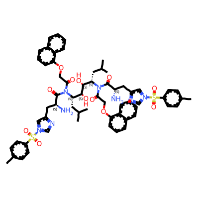 Cc1ccc(S(=O)(=O)n2cnc(C[C@H](N)C(=O)N(C(=O)COc3cccc4ccccc34)[C@@H](CC(C)C)[C@H](O)[C@@H](O)[C@H](CC(C)C)N(C(=O)COc3cccc4ccccc34)C(=O)[C@@H](N)Cc3cn(S(=O)(=O)c4ccc(C)cc4)cn3)c2)cc1